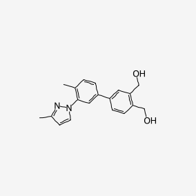 Cc1ccn(-c2cc(-c3ccc(CO)c(CO)c3)ccc2C)n1